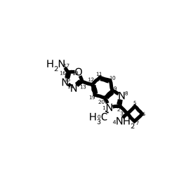 Cn1c(C2(N)CCC2)nc2ccc(-c3nnc(N)o3)cc21